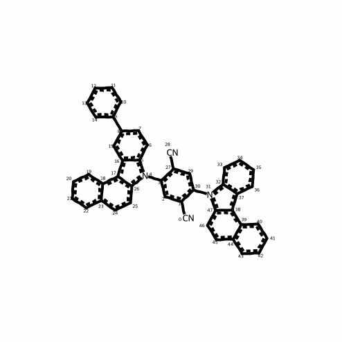 N#Cc1cc(-n2c3ccc(-c4ccccc4)cc3c3c4ccccc4ccc32)c(C#N)cc1-n1c2ccccc2c2c3ccccc3ccc21